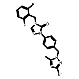 Cc1nc(Br)nn1Cc1ccc(-n2ncn(Cc3c(F)cccc3F)c2=O)cc1